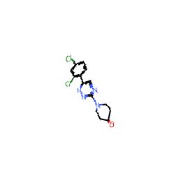 O=C1CCN(c2ncc(-c3ccc(Cl)cc3Cl)nn2)CC1